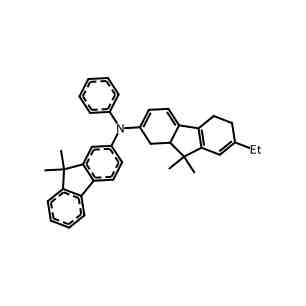 CCC1=CC2=C(CC1)C1=CC=C(N(c3ccccc3)c3ccc4c(c3)C(C)(C)c3ccccc3-4)CC1C2(C)C